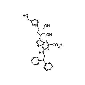 O=C(O)c1nc(NCC(c2ccccc2)c2ccccc2)c2ncn(C3CC(n4cc(CO)cn4)C(O)C3O)c2n1